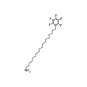 NCCCCCCCCCCCCCCCCCCc1c(F)c(F)c(F)c(F)c1F